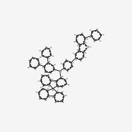 c1ccc(-c2ccc(N(c3ccc(-c4ccc5oc6c(-c7ccccc7)cccc6c5c4)cc3)c3cccc4c3-c3ccccc3C43c4ccccc4-c4ccccc43)cc2-c2ccccc2)cc1